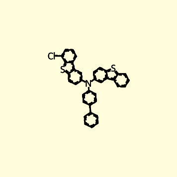 Clc1cccc2c1sc1ccc(N(c3ccc(-c4ccccc4)cc3)c3ccc4sc5ccccc5c4c3)cc12